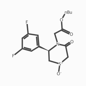 CCCCOC(=O)CN1C(=O)C[S+]([O-])C[C@H]1c1cc(F)cc(F)c1